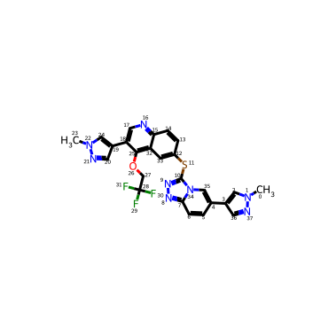 Cn1cc(-c2ccc3nnc(Sc4ccc5ncc(-c6cnn(C)c6)c(OCC(F)(F)F)c5c4)n3c2)cn1